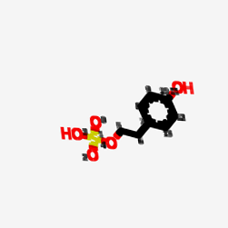 O=S(=O)(O)OCCc1ccc(O)cc1